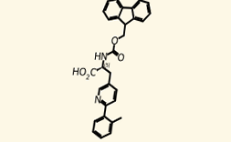 Cc1ccccc1-c1ccc(C[C@H](NC(=O)OCC2c3ccccc3-c3ccccc32)C(=O)O)cn1